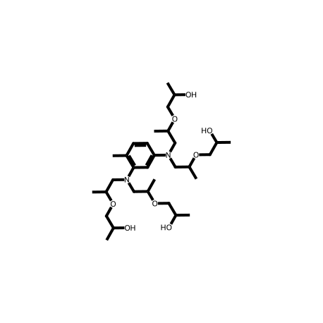 Cc1ccc(N(CC(C)OCC(C)O)CC(C)OCC(C)O)cc1N(CC(C)OCC(C)O)CC(C)OCC(C)O